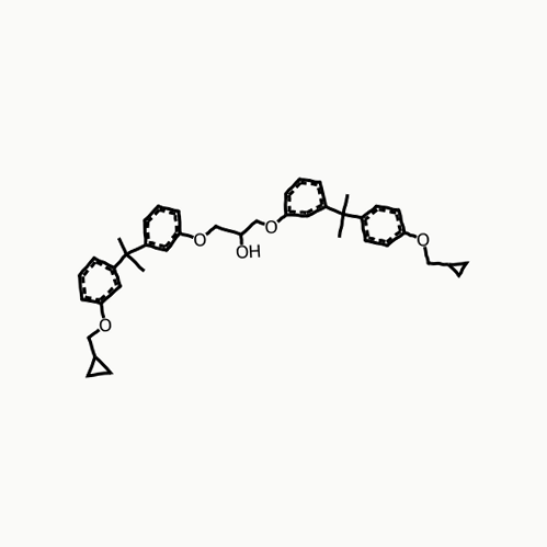 CC(C)(c1ccc(OCC2CC2)cc1)c1cccc(OCC(O)COc2cccc(C(C)(C)c3cccc(OCC4CC4)c3)c2)c1